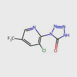 O=c1[nH]nnn1-c1ncc(C(F)(F)F)cc1Cl